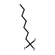 [CH2]CCCCCCC(F)(F)F